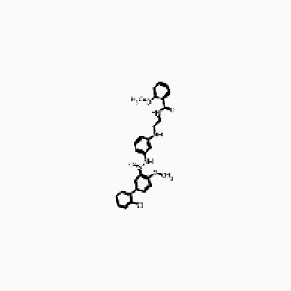 COc1ccccc1C(=O)NCCNc1cccc(N[S+]([O-])c2cc(-c3ccccc3Cl)ccc2OC)c1